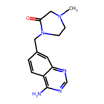 CN1CCN(Cc2ccc3c(N)ncnc3c2)C(=O)C1